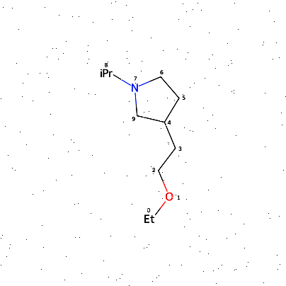 CCOCCC1CCN(C(C)C)C1